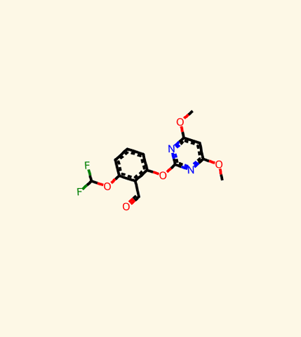 COc1cc(OC)nc(Oc2cccc(OC(F)F)c2C=O)n1